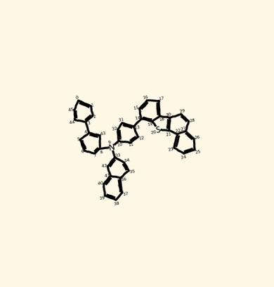 c1ccc(-c2cccc(N(c3ccc(-c4cccc5c4sc4c6ccccc6ccc54)cc3)c3ccc4ccccc4c3)c2)cc1